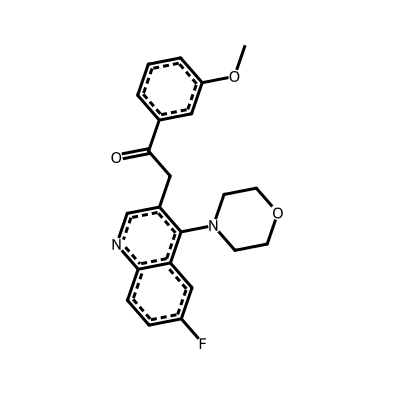 COc1cccc(C(=O)Cc2cnc3ccc(F)cc3c2N2CCOCC2)c1